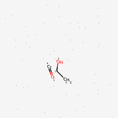 [CH2]CO.[O]=[Cr]